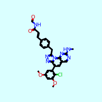 CNc1ncc2cc(-c3cc(OC)cc(OC)c3Cl)c3nnc(Cc4ccc(C=CC(=O)NC=O)cc4)n3c2n1